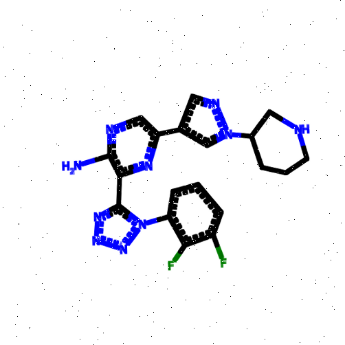 Nc1ncc(-c2cnn(C3CCCNC3)c2)nc1-c1nnnn1-c1cccc(F)c1F